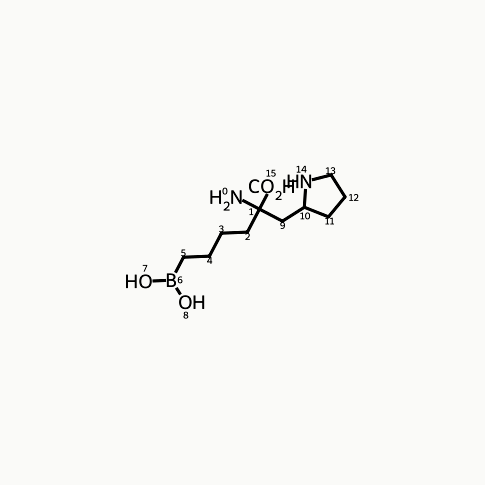 NC(CCCCB(O)O)(CC1CCCN1)C(=O)O